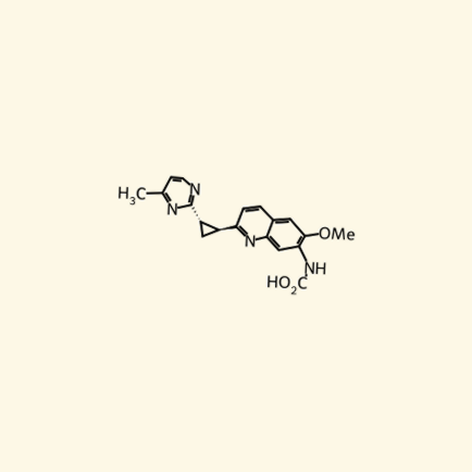 COc1cc2ccc([C@H]3C[C@@H]3c3nccc(C)n3)nc2cc1NC(=O)O